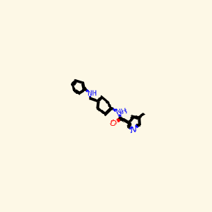 Cc1cncc(C(=O)NC2CCC(CNc3ccccc3)CC2)c1